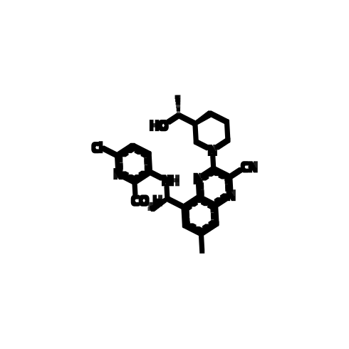 Cc1cc([C@@H](C)Nc2ccc(Cl)nc2C(=O)O)c2nc(N3CCC[C@H]([C@@H](C)O)C3)c(C#N)nc2c1